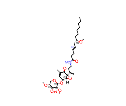 C=C(CCNC(=O)CC/C=C/C[C@H](CCCCCCC)OC)[C@]12O[C@H]1[C@H](O[C@H]1OC[C@H](OC)[C@@H](O)[C@@H]1OC)C=C(C)C2=O